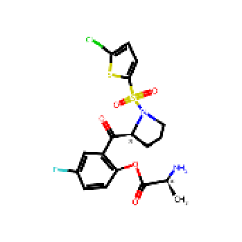 C[C@H](N)C(=O)Oc1ccc(F)cc1C(=O)[C@@H]1CCCN1S(=O)(=O)c1ccc(Cl)s1